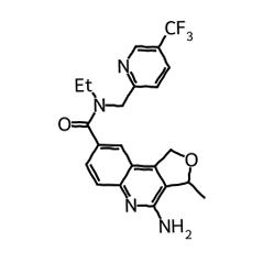 CCN(Cc1ccc(C(F)(F)F)cn1)C(=O)c1ccc2nc(N)c3c(c2c1)COC3C